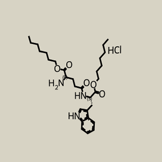 CCCCCCCOC(=O)[C@H](N)CCC(=O)N[C@@H](Cc1c[nH]c2ccccc12)C(=O)OCCCCCCC.Cl